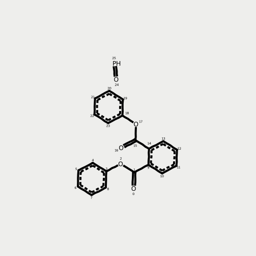 O=C(Oc1ccccc1)c1ccccc1C(=O)Oc1ccccc1.O=P